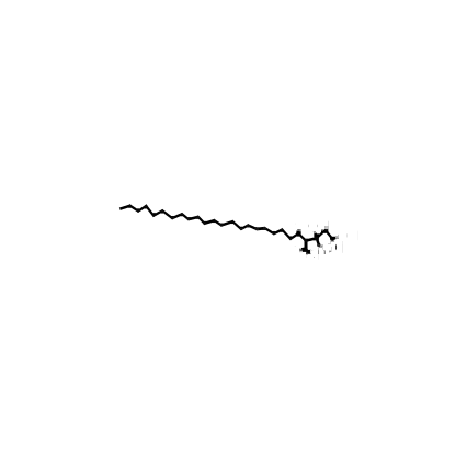 CCCCCCCCCCCCCCCCCCCCCC(=O)C(C(=O)O)C(O)(CC(=O)O)C(=O)O